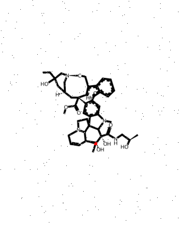 CCC1(O)C[C@H]2C[N@](CCc3c([nH]c4ccccc34)[C@@](C(=O)OC)(c3cc4c(cc3OC)N(C)C3C45CCN4CC=C[C@](CC)(C45)[C@@H](O)[C@]3(O)C(=O)NC[C@@H](C)O)C2)C1